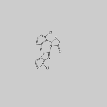 O=C1CSC(c2c(F)cccc2Cl)N1c1nc2c(Cl)cccc2s1